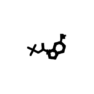 C=C(CC(C)(C)C)n1ccc2ccc(Br)cc21